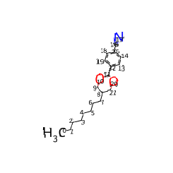 CCCCCCCCC1COC(c2ccc(C#N)cc2)OC1